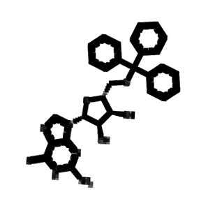 Nc1nc2c(ncn2[C@@H]2O[C@H](COC(c3ccccc3)(c3ccccc3)c3ccccc3)[C@@H](O)[C@H]2O)c(=S)[nH]1